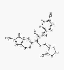 Nc1nc2ccc(N(CCN3CCCC3=O)C(=O)Nc3ccc(Cl)cc3)cc2s1